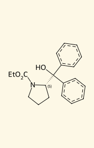 CCOC(=O)N1CCC[C@H]1C(O)(c1ccccc1)c1ccccc1